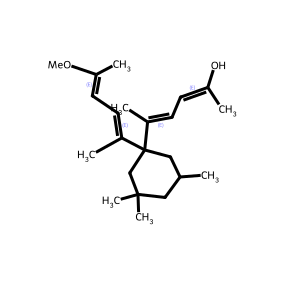 CO/C(C)=C/C=C(\C)C1(/C(C)=C/C=C(\C)O)CC(C)CC(C)(C)C1